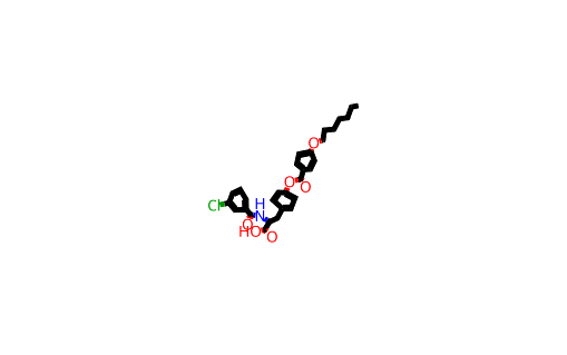 CCCCCCCOc1ccc(C(=O)Oc2ccc(CC(NC(=O)c3cccc(Cl)c3)C(=O)O)cc2)cc1